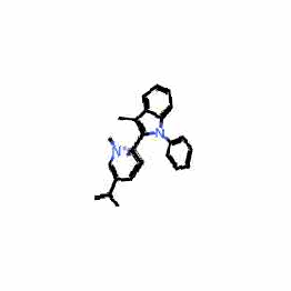 Cc1c(-c2ccc(C(C)C)c[n+]2C)n(-c2ccccc2)c2ccccc12